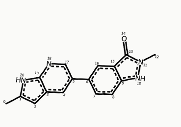 Cc1cc2cc(-c3ccc4[nH]n(C)c(=O)c4c3)cnc2[nH]1